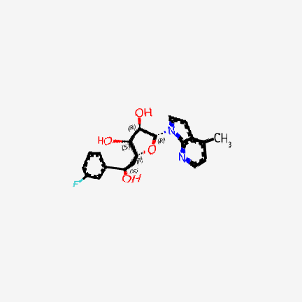 Cc1ccnc2c1ccn2[C@@H]1O[C@H]([C@@H](O)c2cccc(F)c2)[C@@H](O)[C@H]1O